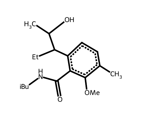 CCC(C)NC(=O)c1c(C(CC)C(C)O)ccc(C)c1OC